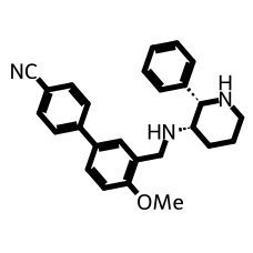 COc1ccc(-c2ccc(C#N)cc2)cc1CN[C@H]1CCCN[C@H]1c1ccccc1